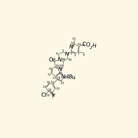 Cc1cc(N2CCN(C(=O)c3ccc4c(-c5ccc(Cl)c(F)c5)cn(C(C)(C)C)c4n3)C(C)C2)nc(C)c1C(=O)O